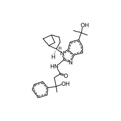 CC(C)(O)c1ccc2nc(NC(=O)CC(C)(O)c3ccccc3)n([C@@H]3CCC4CC3C4)c2c1